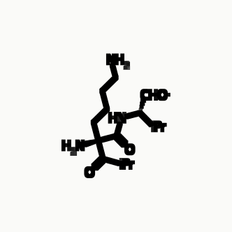 CC(C)C(=O)[C@](N)(CCCCN)C(=O)N[C@H]([C]=O)C(C)C